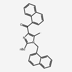 [CH2]c1c(C(=O)c2cccc3ccccc23)nc(CCCC)n1Cc1cccc2ccccc12